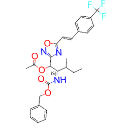 CCC(C)[C@H](NC(=O)OCc1ccccc1)C(OC(C)=O)c1noc(C=Cc2ccc(C(F)(F)F)cc2)n1